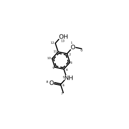 COc1cc(NC(C)=O)ccc1CO